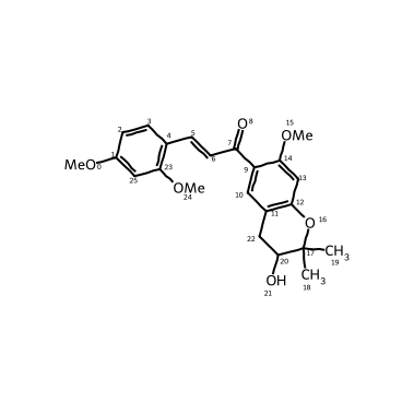 COc1ccc(/C=C/C(=O)c2cc3c(cc2OC)OC(C)(C)C(O)C3)c(OC)c1